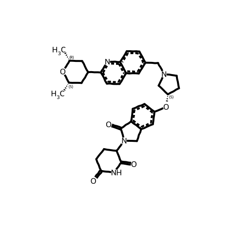 C[C@@H]1CC(c2ccc3cc(CN4CC[C@H](Oc5ccc6c(c5)CN(C5CCC(=O)NC5=O)C6=O)C4)ccc3n2)C[C@H](C)O1